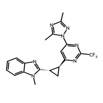 Cc1nc(C)n(-c2cc([C@H]3C[C@@H]3c3nc4ccccc4n3C)nc(C(F)(F)F)n2)n1